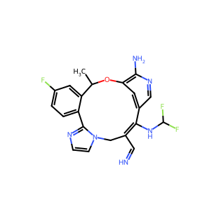 CC1Oc2cc(cnc2N)/C(NC(F)F)=C(/C=N)Cn2ccnc2-c2ccc(F)cc21